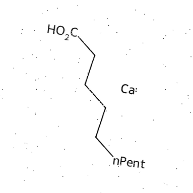 CCCCCCCCCC(=O)O.[Ca]